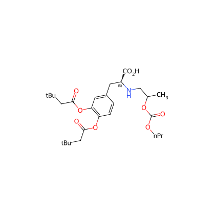 CCCOC(=O)OC(C)CN[C@@H](Cc1ccc(OC(=O)CC(C)(C)C)c(OC(=O)CC(C)(C)C)c1)C(=O)O